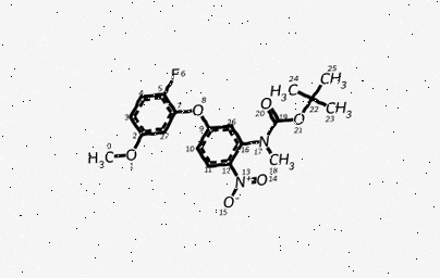 COc1ccc(F)c(Oc2ccc([N+](=O)[O-])c(N(C)C(=O)OC(C)(C)C)c2)c1